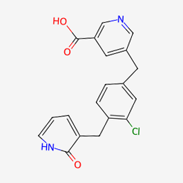 O=C(O)c1cncc(Cc2ccc(Cc3ccc[nH]c3=O)c(Cl)c2)c1